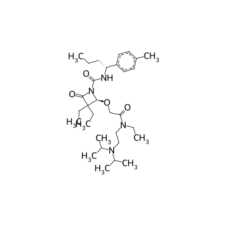 CCC[C@@H](NC(=O)N1C(=O)C(CC)(CC)[C@@H]1OCC(=O)N(CC)CCN(C(C)C)C(C)C)c1ccc(C)cc1